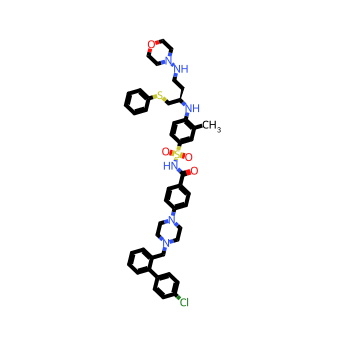 Cc1cc(S(=O)(=O)NC(=O)c2ccc(N3CCN(Cc4ccccc4-c4ccc(Cl)cc4)CC3)cc2)ccc1N[C@H](CCNN1CCOCC1)CSc1ccccc1